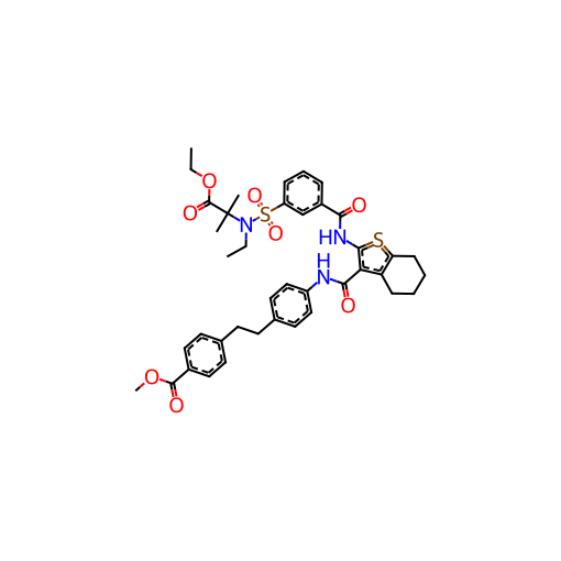 CCOC(=O)C(C)(C)N(CC)S(=O)(=O)c1cccc(C(=O)Nc2sc3c(c2C(=O)Nc2ccc(CCc4ccc(C(=O)OC)cc4)cc2)CCCC3)c1